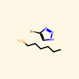 Brc1c[nH]nn1.CCCCCCP